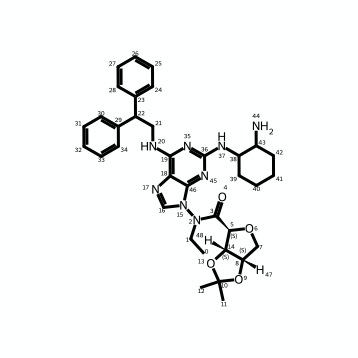 CCN(C(=O)[C@H]1OC[C@@H]2OC(C)(C)O[C@@H]21)n1cnc2c(NCC(c3ccccc3)c3ccccc3)nc(NC3CCCCC3N)nc21